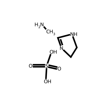 C1=NCCN1.CN.O=S(=O)(O)O